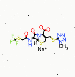 Cn1nnnc1SCC1=C(C(=O)[O-])N2C(=O)[C@@H](NC(=O)CSC(F)(F)F)[C@H]2SC1.[Na+]